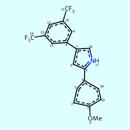 COc1ccc(-c2cc(-c3cc(C(F)(F)F)cc(C(F)(F)F)c3)c[nH]2)cc1